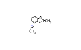 C/C=C/c1cccc2nn(C)cc12